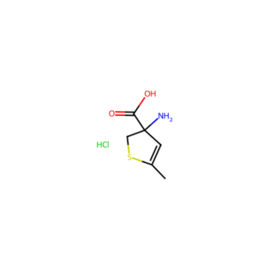 CC1=CC(N)(C(=O)O)CS1.Cl